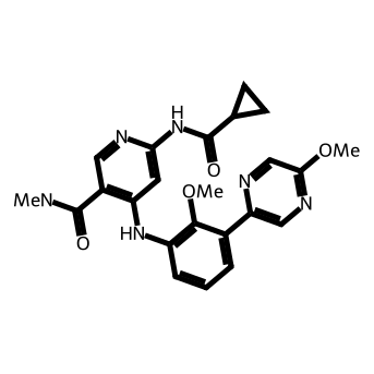 CNC(=O)c1cnc(NC(=O)C2CC2)cc1Nc1cccc(-c2cnc(OC)cn2)c1OC